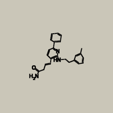 Cc1cccc(CCNc2nc(-c3ccccc3)ccc2C=CCC(N)=O)c1